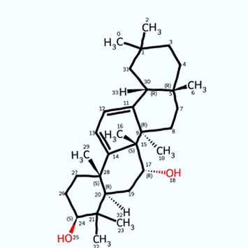 CC1(C)CC[C@]2(C)CC[C@]3(C)C(=CC=C4[C@@]3(C)[C@H](O)C[C@H]3C(C)(C)[C@@H](O)CC[C@]43C)[C@@H]2C1